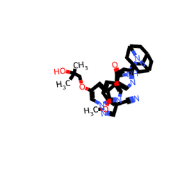 COc1ccc(C(=O)NC23CC4CC(C2)N(c2ccc(-c5cc(OCC(C)(C)O)cn6ncc(C#N)c56)cn2)C(C4)C3)cn1